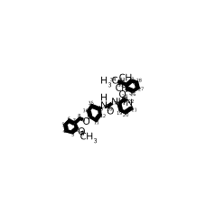 COc1ccccc1COc1ccc(NC(=O)Nc2cccnc2Oc2ccccc2C(C)(C)C)cc1